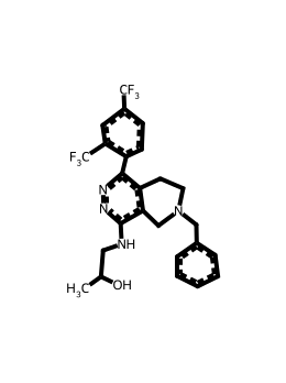 CC(O)CNc1nnc(-c2ccc(C(F)(F)F)cc2C(F)(F)F)c2c1CN(Cc1ccccc1)CC2